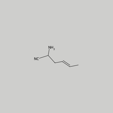 C/C=C/CC(N)C#N